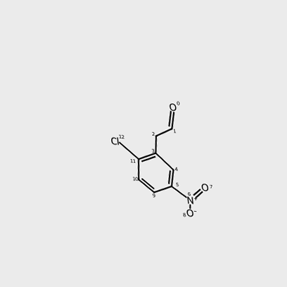 O=CCc1cc([N+](=O)[O-])ccc1Cl